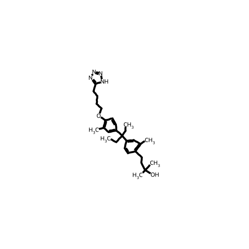 CCC(CC)(c1ccc(CCC(C)(C)O)c(C)c1)c1ccc(OCCCCc2nnn[nH]2)c(C)c1